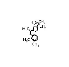 Cc1cccc(CC(C)C2=CC([Si](C)(C)C)=CC2)c1C